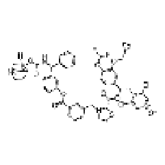 O=C(N[C@@H](c1ccccc1)c1cccc(OC(=O)c2cccc(CN3CCS[C@H]3C(=O)O[C@@H](Cc3c(Cl)c[n+]([O-])cc3Cl)c3ccc(OC(F)F)c(OCC4CC4)c3)c2)c1)O[C@H]1CN2CCC1CC2